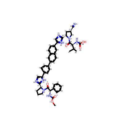 COC(=O)N[C@@H](C(=O)N1CCC[C@H]1c1ncc(-c2ccc(-c3ccc4cc(-c5cnc([C@@H]6C[C@@H](C#N)CN6C(=O)[C@@H](NC(=O)O)C(C)C)[nH]5)ccc4c3)cc2)[nH]1)c1ccccc1